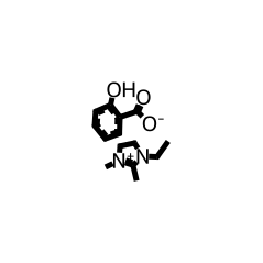 CCN1CC[N+](C)=C1C.O=C([O-])c1ccccc1O